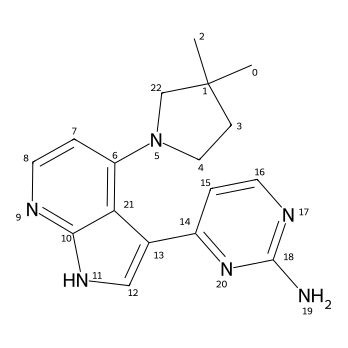 CC1(C)CCN(c2ccnc3[nH]cc(-c4ccnc(N)n4)c23)C1